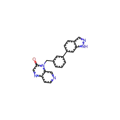 O=c1cnc2ccncc2n1Cc1cccc(-c2ccc3cn[nH]c3c2)c1